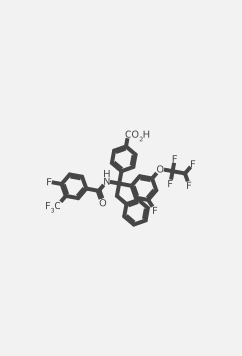 O=C(O)c1ccc(C(Cc2ccccc2)(NC(=O)c2ccc(F)c(C(F)(F)F)c2)c2cc(F)cc(OC(F)(F)C(F)F)c2)cc1